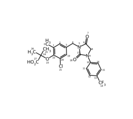 Cc1cc(CN2C(=O)CN(c3ccc(C(F)(F)F)cc3)C2=O)cc(Cl)c1OC(C)(C)C(=O)O